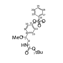 COC(CNC(=O)OC(C)(C)C)c1ccc(OS(=O)(=O)c2ccccc2)cc1